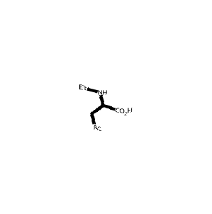 CCNC(CC(C)=O)C(=O)O